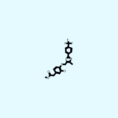 COC(=O)Cc1ccc(SCc2sc(-c3ccc(C(F)(F)F)cc3)nc2C)c(Cl)c1